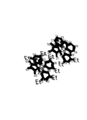 CCc1cc(CC)cc([Si](c2c(C)cccc2C)(c2c(C)cccc2C)C2(C)C(C)=C(C)C(C)=[C]2[Sn]([CH3])([CH3])[CH3])c1.CCc1cc(CC)cc([Si](c2cc(CC)cc(CC)c2)(c2cc(CC)cc(CC)c2)C2(C)C(C)=C(C)C(C)=[C]2[Ti]([CH3])([CH3])[CH3])c1